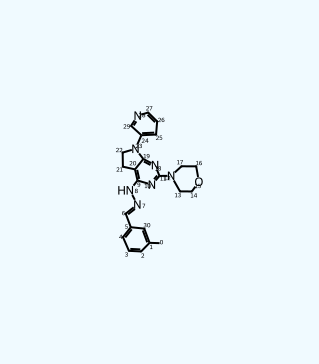 Cc1cccc(C=NNc2nc(N3CCOCC3)nc3c2CCN3c2cccnc2)c1